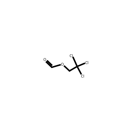 O=COCC(Cl)(Cl)Cl